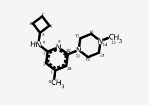 Cc1cc(NC2CCC2)nc(N2CCN(C)CC2)c1